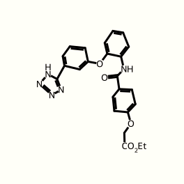 CCOC(=O)COc1ccc(C(=O)Nc2ccccc2Oc2cccc(-c3nnn[nH]3)c2)cc1